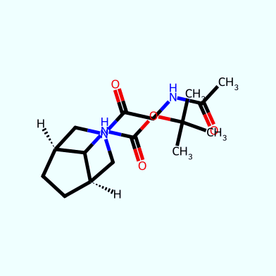 CC(=O)NCC(=O)N1C[C@H]2CC[C@@H](C1)C2NC(=O)OC(C)(C)C